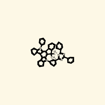 CC1(C)c2ccccc2-c2c1c1c(c3ccccc3n1-c1cccc(-c3nc(-c4ccccc4)nc(-c4ccccc4)n3)c1)c1c3ccccc3n(-c3ccccc3)c21